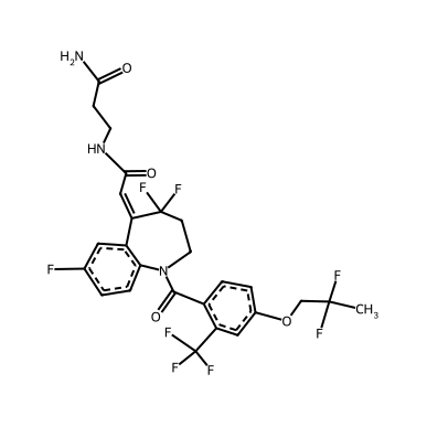 CC(F)(F)COc1ccc(C(=O)N2CCC(F)(F)C(=CC(=O)NCCC(N)=O)c3cc(F)ccc32)c(C(F)(F)F)c1